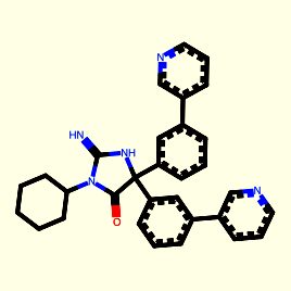 N=C1NC(c2cccc(-c3cccnc3)c2)(c2cccc(-c3cccnc3)c2)C(=O)N1C1CCCCC1